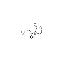 CC[C@H](O)[C@@H]1CCOC1=O